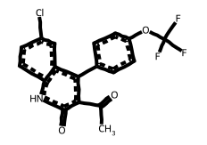 CC(=O)c1c(-c2ccc(OC(F)(F)F)cc2)c2cc(Cl)ccc2[nH]c1=O